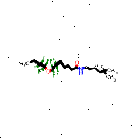 CCC(F)(F)C(F)(F)OC(F)(F)C(F)(F)CCCCC(=O)NCCCCC(C)(C)C